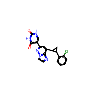 O=c1[nH]cc(-c2cc(C3CC3c3ccccc3Cl)c3nccn3n2)c(=O)[nH]1